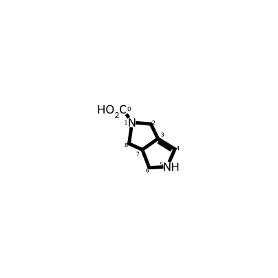 O=C(O)N1CC2=CNCC2C1